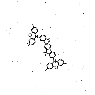 Cc1ccc2c(c1)Oc1cc(C)ccc1N2c1ccc2c(c1)C(C)(C)c1cc3c(cc1-2)sc1ccc(N2c4ccc(C)cc4Oc4cc(C)ccc42)cc13